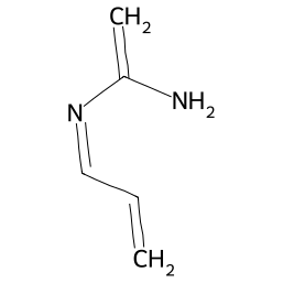 C=C/C=N\C(=C)N